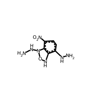 NNc1ccc([N+](=O)[O-])c2c1NON2NN